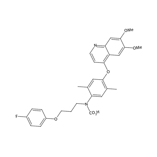 COc1cc2nccc(Oc3cc(C)c(N(CCCOc4ccc(F)cc4)C(=O)O)cc3C)c2cc1OC